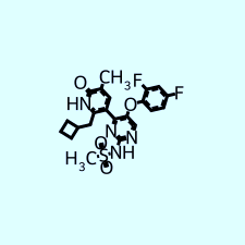 Cc1cc(-c2nc(NS(C)(=O)=O)ncc2Oc2ccc(F)cc2F)c(CC2CCC2)[nH]c1=O